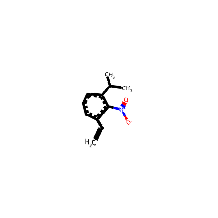 C=Cc1cccc([C](C)C)c1[N+](=O)[O-]